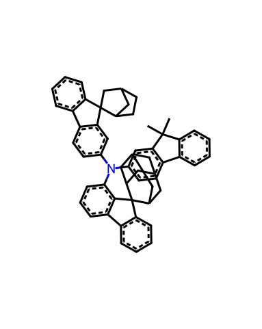 CC1(C)c2ccccc2-c2ccc(N(c3ccc4c(c3)C3(CC5CCC3C5)c3ccccc3-4)c3cccc4c3C3(c5ccccc5-4)C4CC5CC(C4)CC3C5)cc21